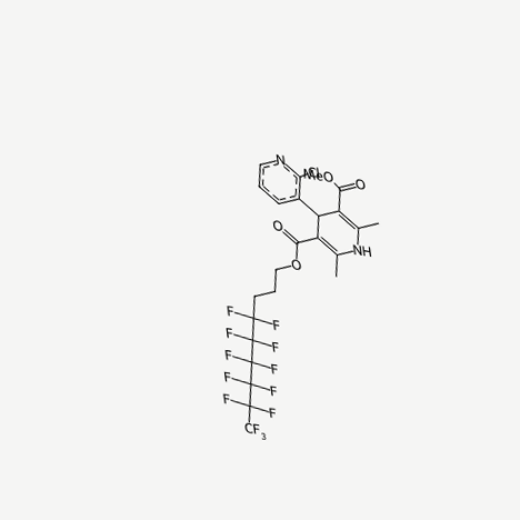 COC(=O)C1=C(C)NC(C)=C(C(=O)OCCCC(F)(F)C(F)(F)C(F)(F)C(F)(F)C(F)(F)C(F)(F)F)C1c1cccnc1Cl